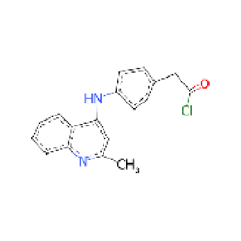 Cc1cc(Nc2ccc(CC(=O)Cl)cc2)c2ccccc2n1